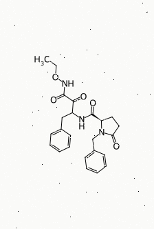 CCONC(=O)C(=O)C(Cc1ccccc1)NC(=O)[C@H]1CCC(=O)N1Cc1ccccc1